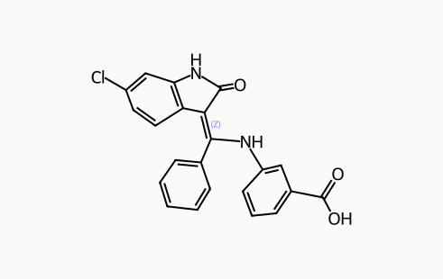 O=C1Nc2cc(Cl)ccc2/C1=C(/Nc1cccc(C(=O)O)c1)c1ccccc1